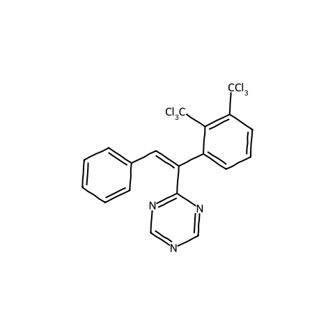 ClC(Cl)(Cl)c1cccc(C(=Cc2ccccc2)c2ncncn2)c1C(Cl)(Cl)Cl